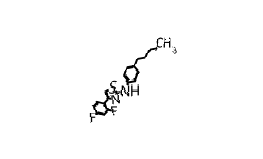 CCCCCc1ccc(Nc2nc(-c3ccc(F)cc3F)cs2)cc1